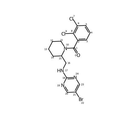 O=C(c1cccc(Cl)c1Cl)N1CCCCC1CNc1ncc(Br)cn1